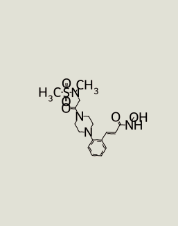 CN(CC(=O)N1CCN(c2ccccc2/C=C/C(=O)NO)CC1)S(C)(=O)=O